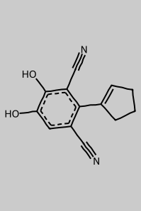 N#Cc1cc(O)c(O)c(C#N)c1C1=CCCC1